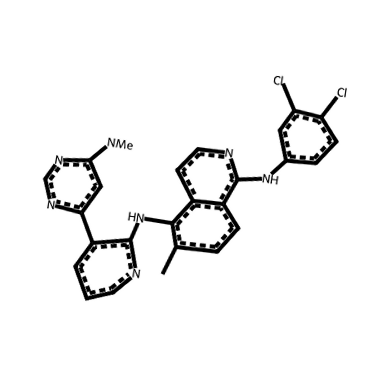 CNc1cc(-c2cccnc2Nc2c(C)ccc3c(Nc4ccc(Cl)c(Cl)c4)nccc23)ncn1